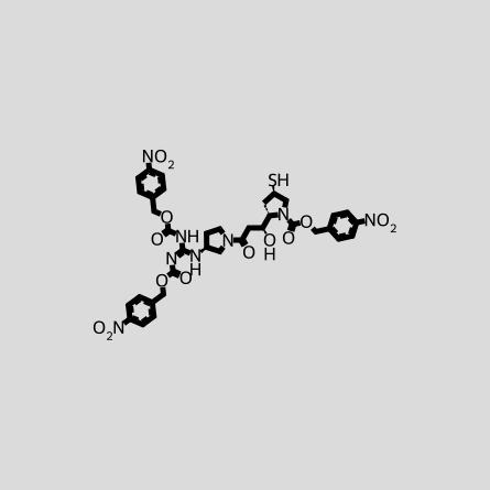 O=C(/N=C(/NC(=O)OCc1ccc([N+](=O)[O-])cc1)N[C@H]1CCN(C(=O)C[C@@H](O)[C@@H]2C[C@H](S)CN2C(=O)OCc2ccc([N+](=O)[O-])cc2)C1)OCc1ccc([N+](=O)[O-])cc1